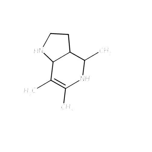 CC1=C(C)C2NCCC2C(C)N1